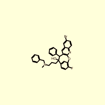 CN(CCCC1(O)c2ccc(F)c(c2)Oc2nc3ccc(Br)cc3cc2C1c1ccccc1)Cc1ccccc1